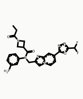 CCC(=O)N1CC(C(=O)N(Cc2cn3ccc(-c4nnc(C(F)F)o4)cc3n2)c2cccc(P)c2)C1